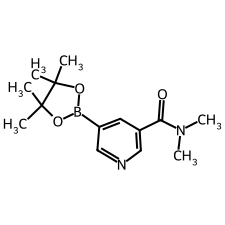 CN(C)C(=O)c1cncc(B2OC(C)(C)C(C)(C)O2)c1